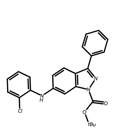 CC(C)(C)OC(=O)n1nc(-c2ccccc2)c2ccc(Nc3ccccc3Cl)cc21